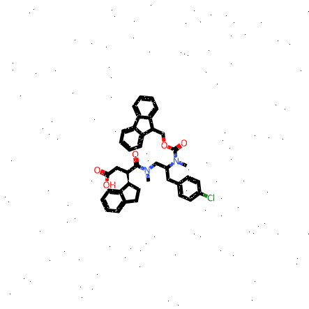 CN(CC(Cc1ccc(Cl)cc1)N(C)C(=O)OCC1c2ccccc2-c2ccccc21)C(=O)C(CC(=O)O)[C@H]1CCc2ccccc21